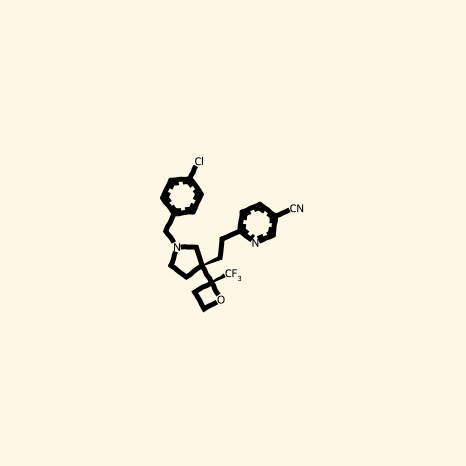 N#Cc1ccc(CC[C@@]2([C@@]3(C(F)(F)F)CCO3)CCN(Cc3ccc(Cl)cc3)C2)nc1